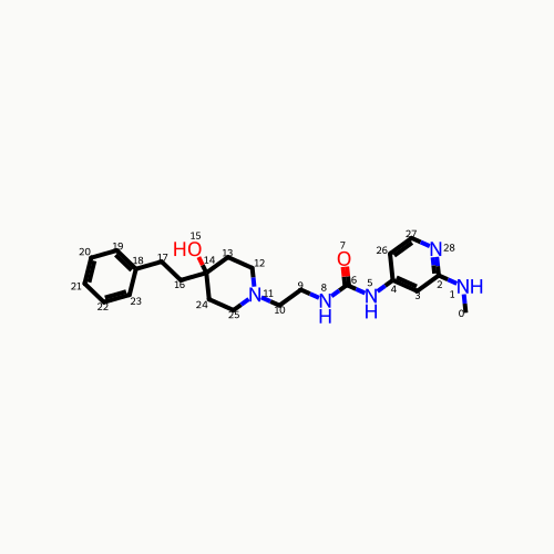 CNc1cc(NC(=O)NCCN2CCC(O)(CCc3ccccc3)CC2)ccn1